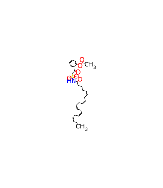 CC/C=C\C/C=C\C/C=C\C/C=C\C/C=C\CCCC(=O)NS(=O)(=O)CC(=O)c1ccccc1OC(C)=O